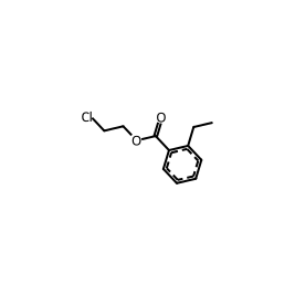 CCc1ccccc1C(=O)OCCCl